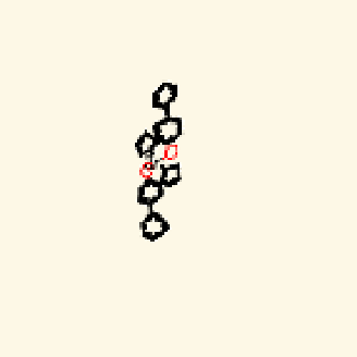 C1=CC[C]([Zr]([O]c2ccc(-c3ccccc3)cc2)([O]c2ccc(-c3ccccc3)cc2)[C]2=CC=CC2)=C1